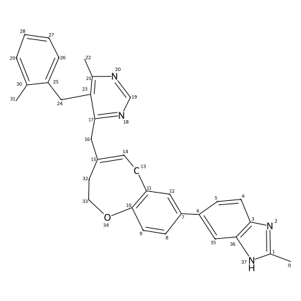 Cc1nc2ccc(-c3ccc4c(c3)C/C=C(/Cc3ncnc(C)c3Cc3ccccc3C)CCO4)cc2[nH]1